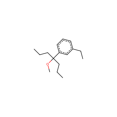 CCCC(CCC)(OC)c1cccc(CC)c1